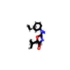 CC[C@@H]1CCCC(NC2=NC(=O)C(C(C)C)O2)C1